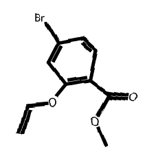 C=COc1cc(Br)ccc1C(=O)OC